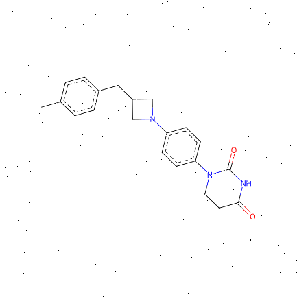 Cc1ccc(CC2CN(c3ccc(N4CCC(=O)NC4=O)cc3)C2)cc1